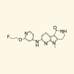 Cn1c2c(c3ccc(Nc4ccnc(OCCF)c4)nc31)C(=O)NCC2